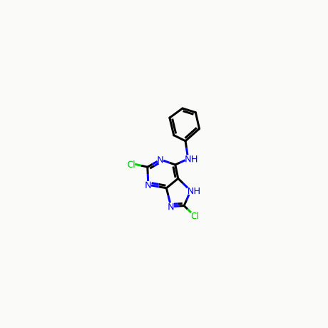 Clc1nc(Nc2ccccc2)c2[nH]c(Cl)nc2n1